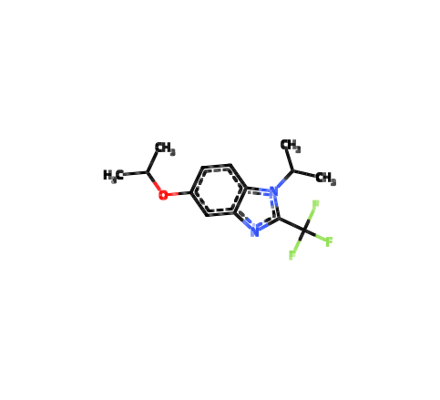 CC(C)Oc1ccc2c(c1)nc(C(F)(F)F)n2C(C)C